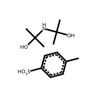 CC(C)(O)NC(C)(C)O.Cc1ccc(S(=O)(=O)O)cc1